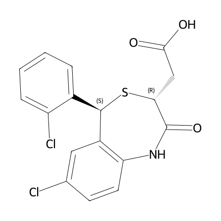 O=C(O)C[C@H]1S[C@H](c2ccccc2Cl)c2cc(Cl)ccc2NC1=O